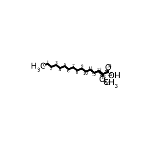 CCCCCCCCCCCCCC=C(OC)C(=O)O